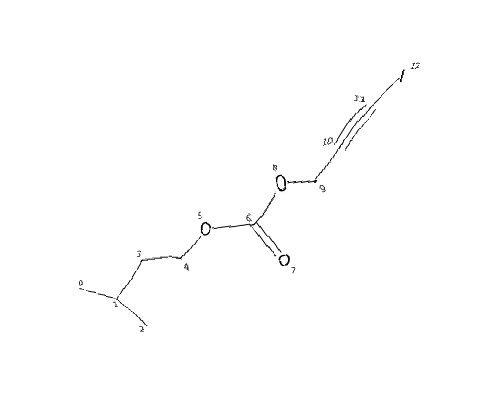 CC(C)CCOC(=O)OCC#CI